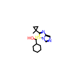 CC1(C2=Nc3cncn3[SH]2C(O)C2CCCCC2)CC1